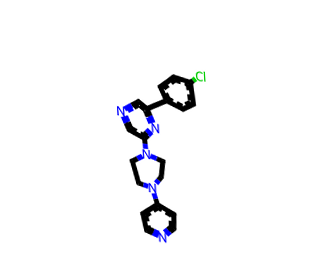 Clc1ccc(-c2cncc(N3CCN(c4ccncc4)CC3)n2)cc1